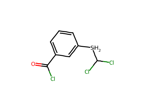 O=C(Cl)c1cccc([SiH2]C(Cl)Cl)c1